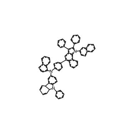 C1=CC2c3cc(N(c4ccc(-c5cc6c(-c7ccccc7)c(-c7ccccc7)n(-c7ccc8ccccc8c7)c6c6ccccc56)cc4)c4cccc5ccccc45)ccc3N(c3ccccc3)C2C=C1